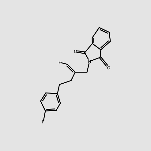 O=C1c2ccccc2C(=O)N1CC(=CF)CCc1ccc(F)cc1